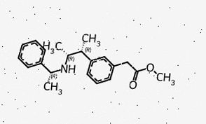 COC(=O)Cc1cccc([C@@H](C)[C@@H](C)N[C@H](C)c2ccccc2)c1